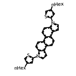 CCCCCCc1csc(-n2ccc3c4ccc5c(ccc6c5ccn6-c5cc(CCCCCC)cs5)c4ccc32)c1